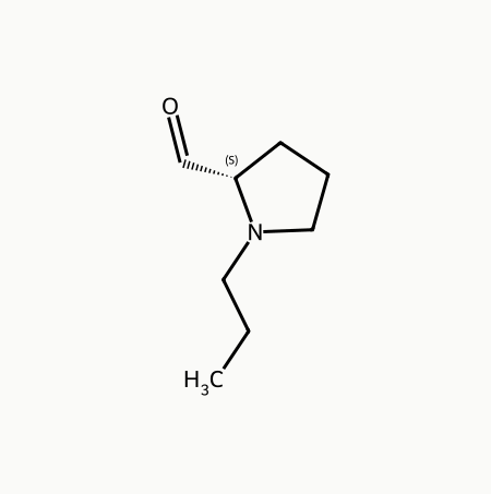 CCCN1CCC[C@H]1C=O